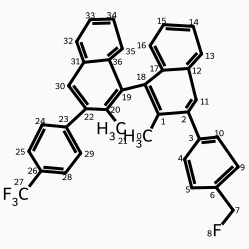 Cc1c(-c2ccc(CF)cc2)cc2ccccc2c1-c1c(C)c(-c2ccc(C(F)(F)F)cc2)cc2ccccc12